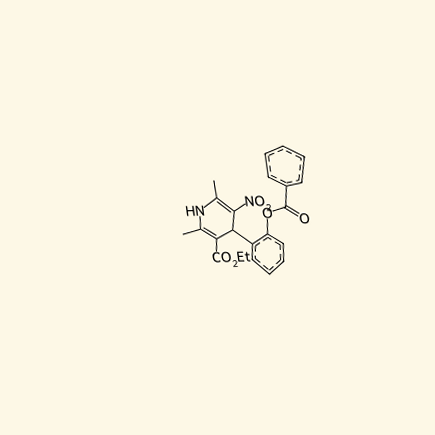 CCOC(=O)C1=C(C)NC(C)=C([N+](=O)[O-])C1c1ccccc1OC(=O)c1ccccc1